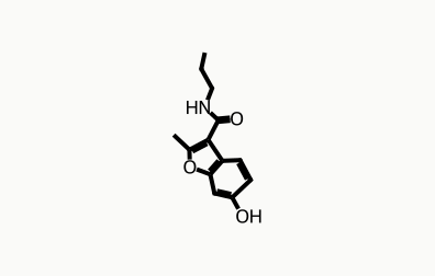 CCCNC(=O)c1c(C)oc2cc(O)ccc12